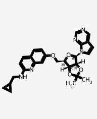 CC1(C)O[C@@H]2[C@H](O1)[C@@H](COc1ccc3ccc(NCC4CC4)nc3c1)O[C@H]2n1ccc2cncnc21